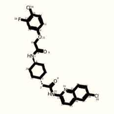 O=C(C[C@H]1CC[C@H](NC(=O)COc2ccc(Cl)c(F)c2)CC1)Nc1ccc2cc(Cl)ccc2n1